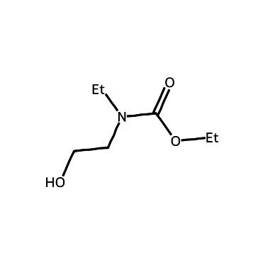 CCOC(=O)N(CC)CCO